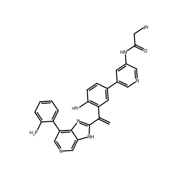 C=C(c1nc2c(-c3ccccc3P)cncc2[nH]1)c1cc(-c2cncc(NC(=O)CC(C)C)c2)ccc1CCC